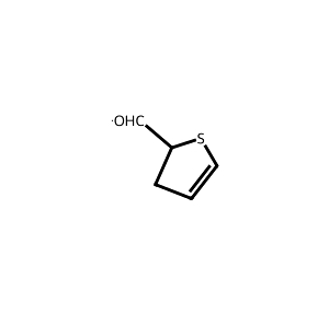 O=[C]C1CC=CS1